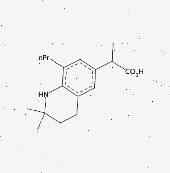 CCCc1cc(C(C)C(=O)O)cc2c1NC(C)(C)CC2